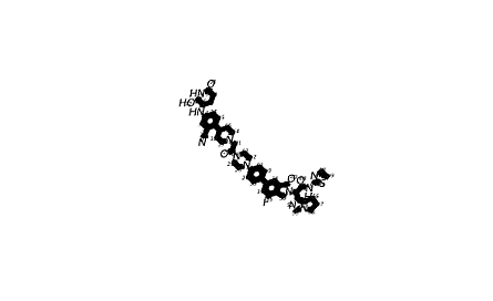 N#Cc1cc(NC2CCC(=O)NC2O)ccc1C1CCN(CC(=O)N2CCN(c3ccc(-c4cc(F)c5c(c4)C(=O)N(C(C(=O)Nc4nccs4)c4ncn6c4CCC6)C5)cc3)CC2)CC1